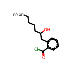 CCCCCCCCCCCCCC(O)Cc1ccccc1C(=O)Cl